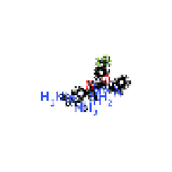 C[N+](CCN)(CCN)CC1CCC([C@H](N)C(=O)N[C@@H](Cc2ccc(C(F)(F)F)cc2)C(=O)Nc2cnc3ccccc3c2)CC1